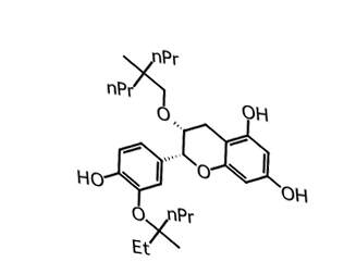 CCCC(C)(CCC)CO[C@@H]1Cc2c(O)cc(O)cc2O[C@@H]1c1ccc(O)c(OC(C)(CC)CCC)c1